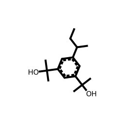 CCC(C)c1cc(C(C)(C)O)cc(C(C)(C)O)c1